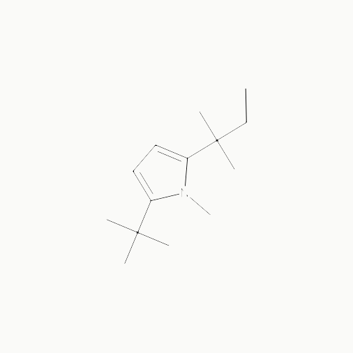 CCC(C)(C)c1ccc(C(C)(C)C)n1C